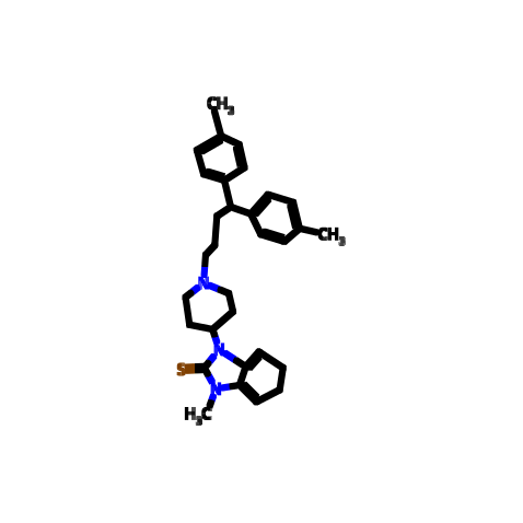 Cc1ccc(C(CCCN2CCC(n3c4c(n(C)c3=S)=CCCC=4)CC2)c2ccc(C)cc2)cc1